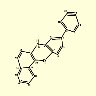 c1ccc(-c2ccc3c(c2)Nc2ccc4ccccc4c2O3)cc#1